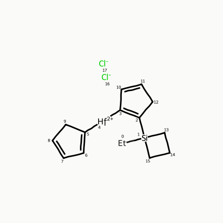 CC[Si]1(C2=[C]([Hf+2][C]3=CC=CC3)C=CC2)CCC1.[Cl-].[Cl-]